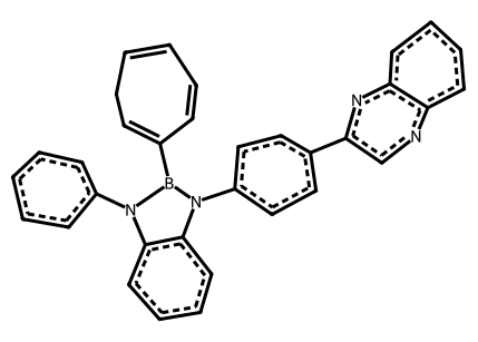 C1=CCC=C(B2N(c3ccccc3)c3ccccc3N2c2ccc(-c3cnc4ccccc4n3)cc2)C=C1